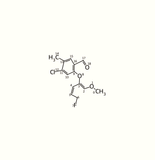 CO/C=C(/C=C\CF)Oc1cc(Cl)c(C)cc1C=O